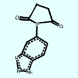 O=C1CCC(=O)N1c1ccc2[nH]nnc2c1